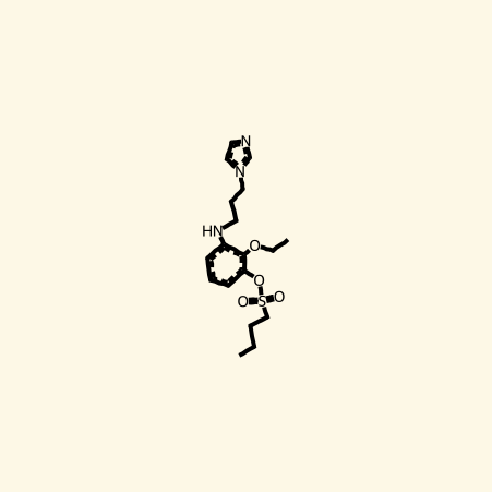 CCCCS(=O)(=O)Oc1cccc(NCCCn2ccnc2)c1OCC